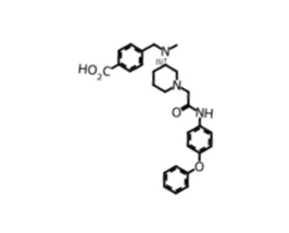 CN(Cc1ccc(C(=O)O)cc1)[C@H]1CCCN(CC(=O)Nc2ccc(Oc3ccccc3)cc2)C1